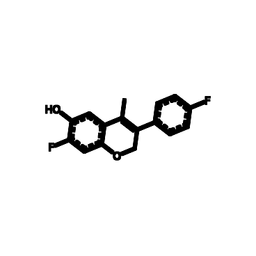 CC1=C(c2ccc(F)cc2)COc2cc(F)c(O)cc21